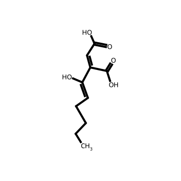 CCCCC=C(O)/C(=C/C(=O)O)C(=O)O